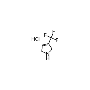 Cl.FC(F)(F)C1=CCNC1